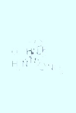 N[C@H](C(=O)N1Cc2ccc([N+](=O)[O-])cc2[C@H]1C(=O)Nc1c(F)cccc1F)C1CCOCC1